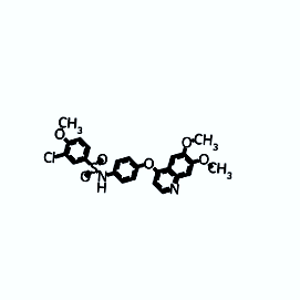 COc1ccc(S(=O)(=O)Nc2ccc(Oc3ccnc4cc(OC)c(OC)cc34)cc2)cc1Cl